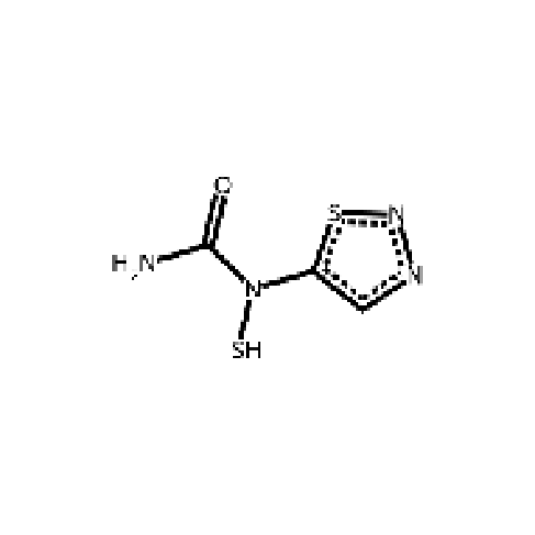 NC(=O)N(S)c1cnns1